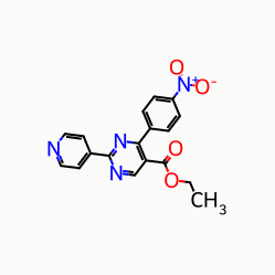 CCOC(=O)c1cnc(-c2ccncc2)nc1-c1ccc([N+](=O)[O-])cc1